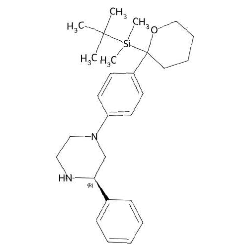 CC(C)(C)[Si](C)(C)C1(c2ccc(N3CCN[C@H](c4ccccc4)C3)cc2)CCCCO1